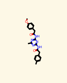 COc1ccc(CC(=O)Nc2nc(C)nc(NC(=O)Cc3ccc(C)cc3)n2)cc1